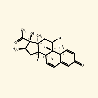 CC(=O)[C@@]1(O)C(C)C[C@H]2[C@@H]3C=CC4=CC(=O)C=C[C@]4(C)[C@@]3(F)C(O)C[C@@]21C